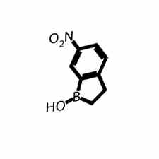 O=[N+]([O-])c1ccc2c(c1)B(O)CC2